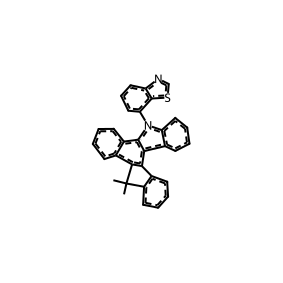 CC1(C)c2ccccc2-c2c1c1ccccc1c1c2c2ccccc2n1-c1cccc2ncsc12